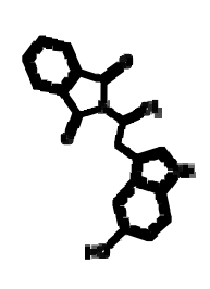 C=C(Cc1c[nH]c2ccc(O)cc12)N1C(=O)c2ccccc2C1=O